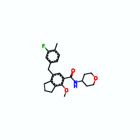 COc1c(C(=O)NC2CCOCC2)cc(Cc2ccc(C)c(F)c2)c2c1CCC2